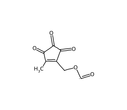 Cc1c(CO[C]=O)c(=O)c(=O)c1=O